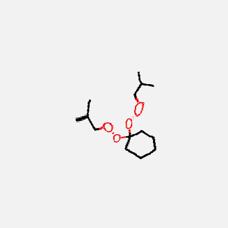 CC(C)COOC1(OOCC(C)C)CCCCC1